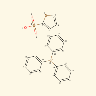 O=S(=O)([O-])c1cccs1.c1ccc([S+](c2ccccc2)c2ccccc2)cc1